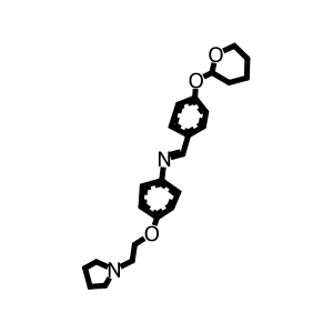 C(=Nc1ccc(OCCN2CCCC2)cc1)c1ccc(OC2CCCCO2)cc1